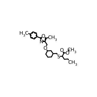 CCCC(SCC1CCCC(OCc2nc(-c3ccc(C)cc3)oc2C)C1)C(=O)OC